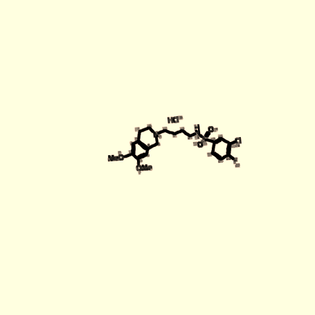 COc1cc2c(cc1OC)CN(CCCCNS(=O)(=O)c1ccc(F)c(Cl)c1)CC2.Cl